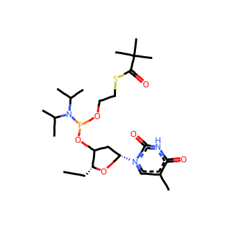 CC[C@H]1O[C@@H](n2cc(C)c(=O)[nH]c2=O)CC1OP(OCCSC(=O)C(C)(C)C)N(C(C)C)C(C)C